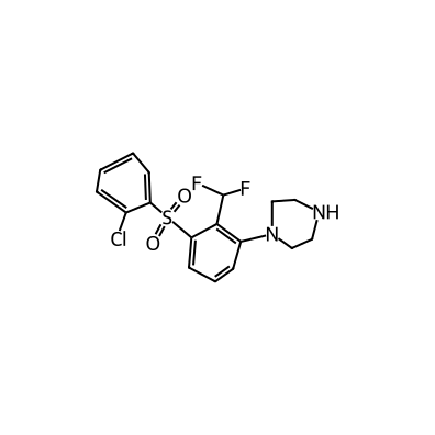 O=S(=O)(c1ccccc1Cl)c1cccc(N2CCNCC2)c1C(F)F